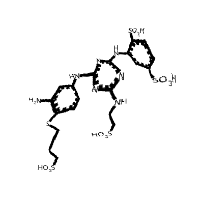 Nc1cc(Nc2nc(NCCS(=O)(=O)O)nc(Nc3cc(S(=O)(=O)O)ccc3S(=O)(=O)O)n2)ccc1SCCCS(=O)(=O)O